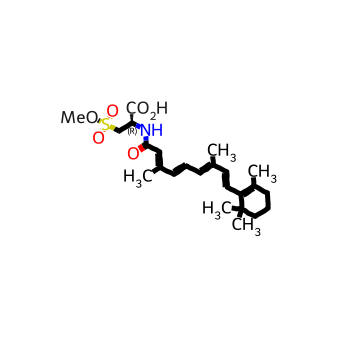 COS(=O)(=O)C[C@H](NC(=O)C=C(C)C=CC=C(C)C=CC1=C(C)CCCC1(C)C)C(=O)O